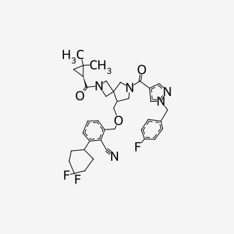 CC1(C)C[C@@H]1C(=O)N1CC2(CN(C(=O)c3cnn(Cc4ccc(F)cc4)c3)CC2COCc2cccc(C3CCC(F)(F)CC3)c2C#N)C1